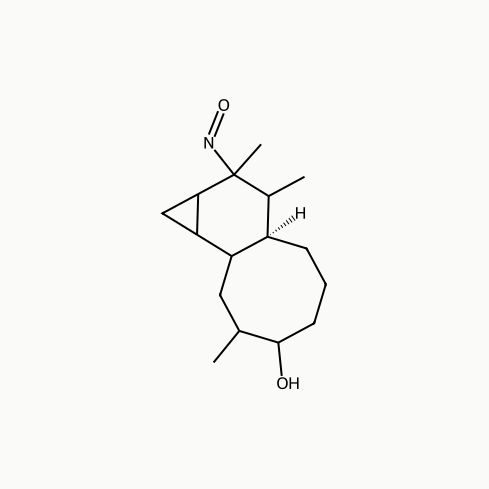 CC1CC2C3CC3C(C)(N=O)C(C)[C@H]2CCCC1O